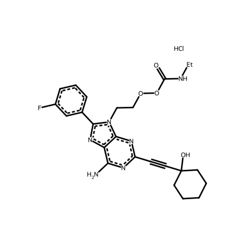 CCNC(=O)OOCCn1c(-c2cccc(F)c2)nc2c(N)nc(C#CC3(O)CCCCC3)nc21.Cl